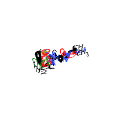 C=N/C(OC)=C(\C=C(/C)c1ccc2ncn(CC(C)C(=O)NC)c(=O)c2c1)NS(=O)(=O)c1cccc(Cl)c1Cl